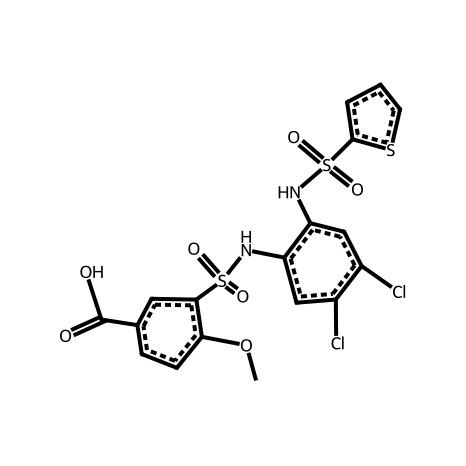 COc1ccc(C(=O)O)cc1S(=O)(=O)Nc1cc(Cl)c(Cl)cc1NS(=O)(=O)c1cccs1